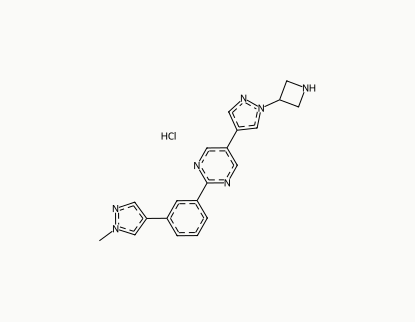 Cl.Cn1cc(-c2cccc(-c3ncc(-c4cnn(C5CNC5)c4)cn3)c2)cn1